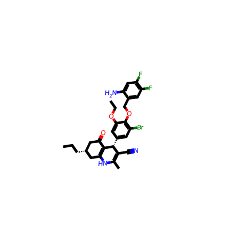 CCC[C@@H]1CC(=O)C2=C(C1)NC(C)=C(C#N)[C@H]2c1cc(Br)c(OCc2cc(F)c(F)cc2N)c(OCC)c1